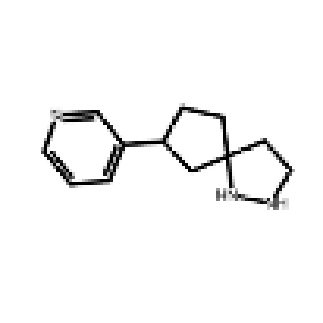 c1cncc(C2CCC3(CCNN3)C2)c1